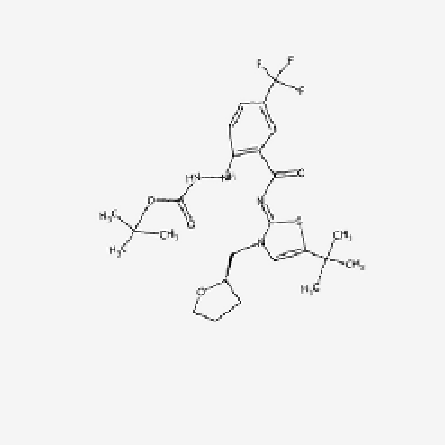 CC(C)(C)OC(=O)NNc1ccc(C(F)(F)F)cc1C(=O)N=c1sc(C(C)(C)C)cn1C[C@H]1CCCO1